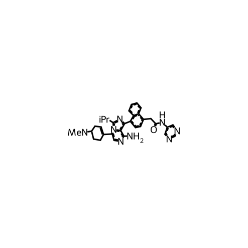 CNC1CC=C(c2cnc(N)c3c(-c4ccc(CC(=O)Nc5cncnc5)c5ccccc45)nc(C(C)C)n23)CC1